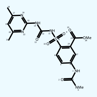 CNC(=O)Nc1ccc(S(=O)(=O)NC(=O)Nc2nc(C)cc(C)n2)c(C(=O)OC)c1